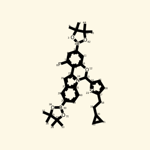 CC1(C)OB(c2cc(F)c3c(c2)OC(c2ccc(CCC4CC4)s2)n2c-3cc3cc(B4OC(C)(C)C(C)(C)O4)ccc32)OC1(C)C